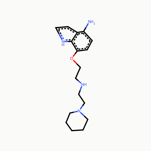 Nc1ccc(OCCNCCN2CCCCC2)c2[nH]ccc12